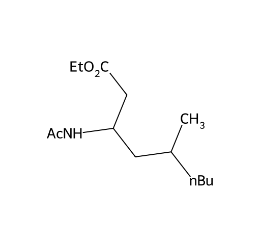 CCCCC(C)CC(CC(=O)OCC)NC(C)=O